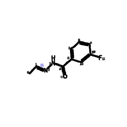 C/C=N/NC(=O)c1cccc(F)c1